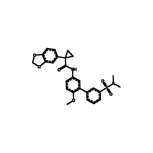 COc1ccc(NC(=O)C2(c3ccc4c(c3)OCO4)CC2)cc1-c1cccc(S(=O)(=O)N(C)C)c1